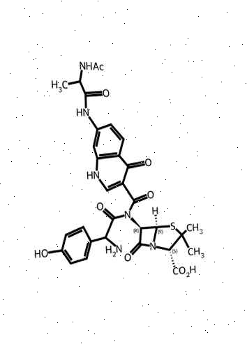 CC(=O)NC(C)C(=O)Nc1ccc2c(=O)c(C(=O)N(C(=O)C(N)c3ccc(O)cc3)[C@@H]3C(=O)N4[C@@H]3SC(C)(C)[C@@H]4C(=O)O)c[nH]c2c1